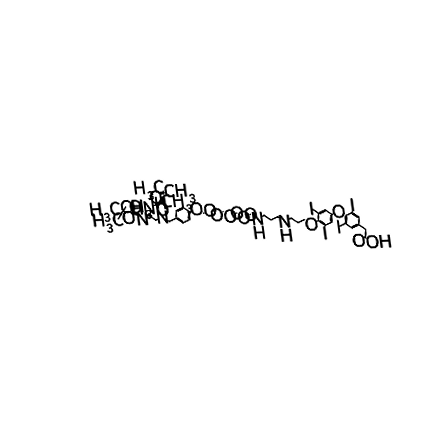 CC(C)(C)OC(=O)/N=C(/CNCc1ccc(OCOOCOOOONCCCNCCCOc2c(I)cc(Oc3c(I)cc(CC(=O)O)cc3I)cc2I)cc1)NC(=O)OC(C)(C)C